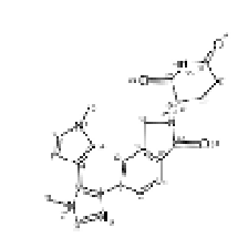 Cn1ccc(-c2c(-c3ccc4c(c3)CN([C@H]3CCC(=O)NC3=O)C4=O)ncn2C)c1